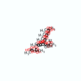 CCC(=O)O[C@H](C)[C@H](O)C(=O)[C@@H](OC)[C@@H]1Cc2cc3cc(O[C@H]4C[C@@H](O[C@H]5C[C@@H](O)[C@H](O)C(C)O5)[C@H](O)C(C)O4)c(C)c(O)c3c(O)c2C(=O)[C@H]1O[C@H]1C[C@@H](O[C@H]2C[C@@H](O[C@H]3C[C@](C)(O)[C@H](O)C(C)O3)[C@@H](O)C(C)O2)[C@H](O)C(C)O1